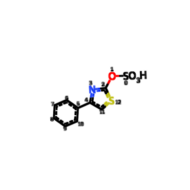 O=S(=O)(O)Oc1nc(-c2ccccc2)cs1